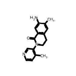 Cc1cc2c(cc1N)C(=O)N(c1cnccc1C)CC2